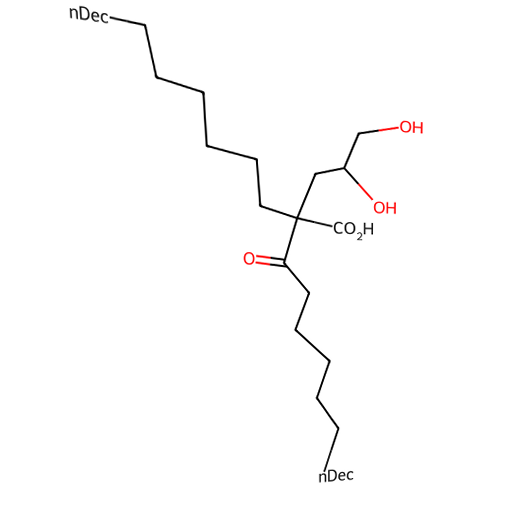 CCCCCCCCCCCCCCCCC(CC(O)CO)(C(=O)O)C(=O)CCCCCCCCCCCCCCC